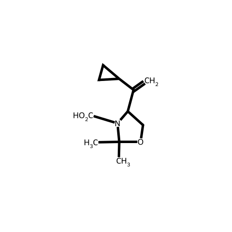 C=C(C1CC1)C1COC(C)(C)N1C(=O)O